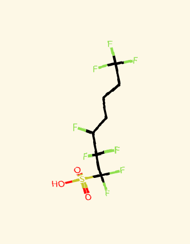 O=S(=O)(O)C(F)(F)C(F)(F)C(F)CCCC(F)(F)F